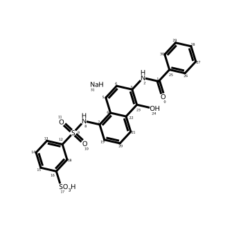 O=C(Nc1ccc2c(NS(=O)(=O)c3cccc(S(=O)(=O)O)c3)cccc2c1O)c1ccccc1.[NaH]